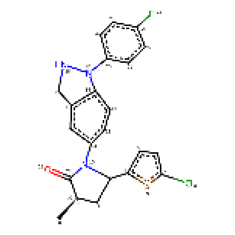 C[C@@H]1CC(c2ccc(Cl)s2)N(c2ccc3c(c2)CNN3c2ccc(F)cc2)C1=O